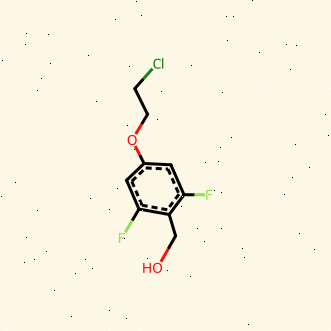 OCc1c(F)cc(OCCCl)cc1F